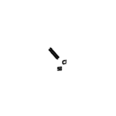 C=C.[C].[Si]